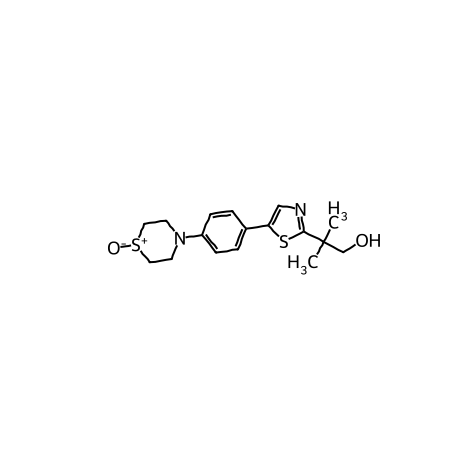 CC(C)(CO)c1ncc(-c2ccc(N3CC[S+]([O-])CC3)cc2)s1